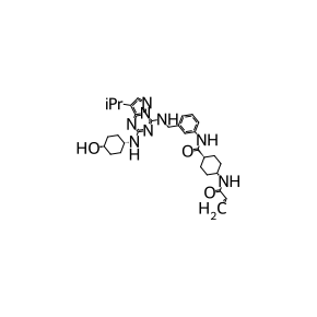 C=CC(=O)N[C@H]1CC[C@@H](C(=O)Nc2cccc(CNc3nc(N[C@H]4CC[C@H](O)CC4)nc4c(C(C)C)cnn34)c2)CC1